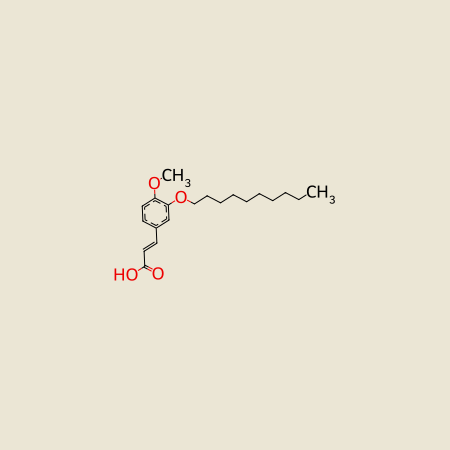 CCCCCCCCCCOc1cc(C=CC(=O)O)ccc1OC